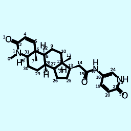 CN1C(=O)C=C[C@]2(C)[C@H]3CC[C@]4(C)[C@@H](CC(=O)Nc5ccc(=O)[nH]c5)CC[C@H]4[C@@H]3CC[C@@H]12